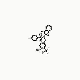 Cc1ccc(S(=O)(=O)N(Cc2ccc([18F])c(C(F)(F)F)c2)c2sc3ccccc3c2C)cc1